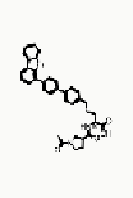 CC(=O)N1CCC(C(=O)N[C@@H](CSCc2ccc(-c3ccc(-c4cccc5c4oc4ccccc45)cc3)cc2)C(=O)O)C1